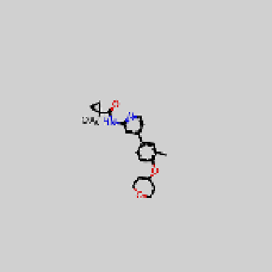 CC(=O)OC1(C(=O)Nc2cc(-c3ccc(OC4CCOCC4)c(C)c3)ccn2)CC1